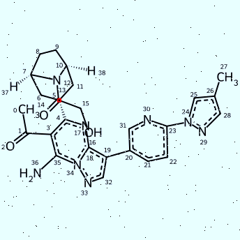 CC(=O)c1c([C@@H]2C[C@H]3CC[C@@H](C2)N3C(=O)CO)nc2c(-c3ccc(-n4cc(C)cn4)nc3)cnn2c1N